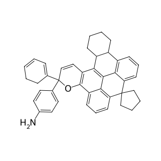 Nc1ccc(C2(C3=CC=CCC3)C=Cc3c4c5c6c(cccc6c3O2)C2(CCCC2)c2cccc(c2-5)C2CCCCC42)cc1